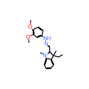 CCC1(C)C(/C=N/Nc2ccc(OC)c(OC)c2)=[N+](C)c2ccccc21